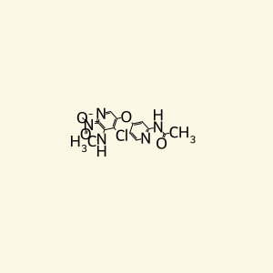 CNc1c([N+](=O)[O-])ncc(Oc2ccnc(NC(C)=O)c2)c1Cl